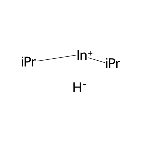 C[CH](C)[In+][CH](C)C.[H-]